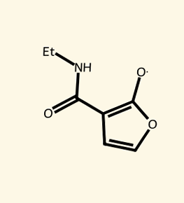 CCNC(=O)c1ccoc1[O]